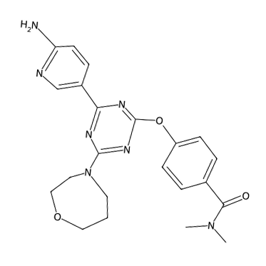 CN(C)C(=O)c1ccc(Oc2nc(-c3ccc(N)nc3)nc(N3CCCOCC3)n2)cc1